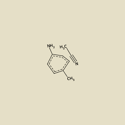 CC#N.Cc1ccc(N)cc1